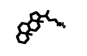 CC(CCN)C1CCC2C3CCC4CCCCC4(C)C3CCC12C